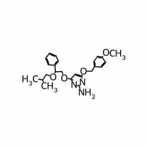 COc1ccc(COc2cc(OCC(OCC(C)C)c3ccccc3)nc(N)n2)cc1